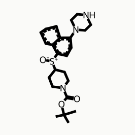 CC(C)(C)OC(=O)N1CCC([S+]([O-])c2ccc(N3CCNCC3)c3ccccc23)CC1